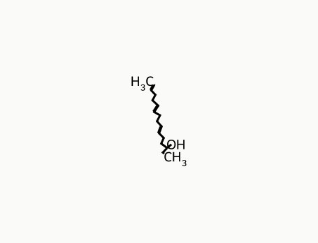 C/C=C/CC/C=C/CC/C=C/CCC(O)CC